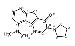 CN(C)c1ccnc2sc3c(=O)n(N4CCCC4)cnc3c12